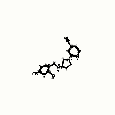 C#Cc1ccnc(N2CC[C@H](NCc3ccc(Cl)cc3Cl)C2)c1